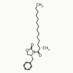 CCCCCCCCCCCC[C@H](C)C(=O)N1C(=O)OC[C@@H]1Cc1ccccc1